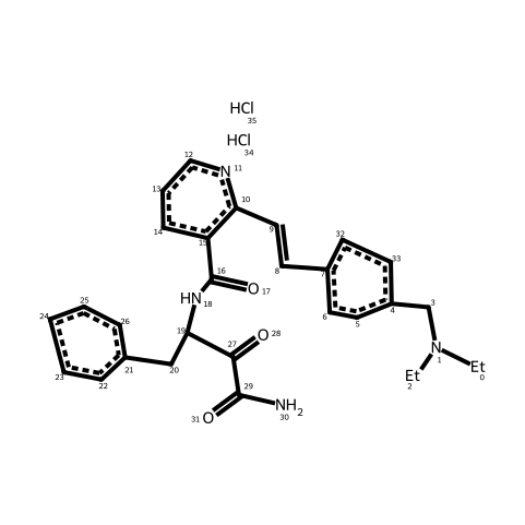 CCN(CC)Cc1ccc(/C=C/c2ncccc2C(=O)NC(Cc2ccccc2)C(=O)C(N)=O)cc1.Cl.Cl